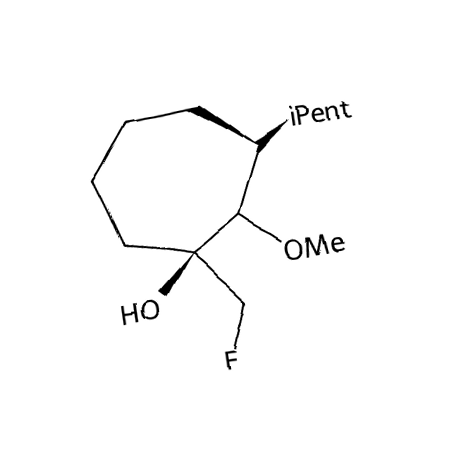 CCC[C@H](C)[C@@H]1CCCC[C@@](O)(CF)C1OC